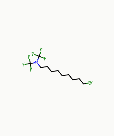 FC(F)(F)N(CCCCCCCCCBr)C(F)(F)F